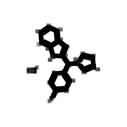 Cl.Fc1ccc(C(c2cc3ccccc3o2)n2ccnc2)cc1